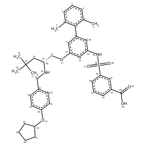 Cc1cccc(C)c1-c1cc(OC[C@@H](CC(C)(C)C)NCc2ccc(OC3CCCC3)cn2)nc(NS(=O)(=O)c2cccc(C(=O)O)c2)n1